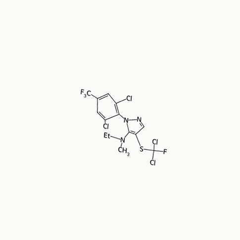 CCN(C)c1c(SC(F)(Cl)Cl)cnn1-c1c(Cl)cc(C(F)(F)F)cc1Cl